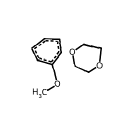 C1COCCO1.COc1ccccc1